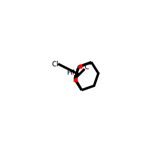 ClC1CC23CCC(CNC2)C1C3